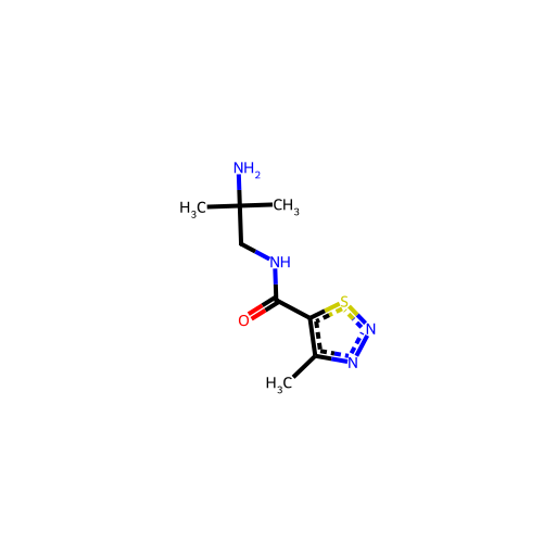 Cc1nnsc1C(=O)NCC(C)(C)N